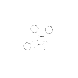 CC12CC(C)(C(c3ccccc3)=C1c1ccccc1)C(Sc1ccccc1)C2C=O